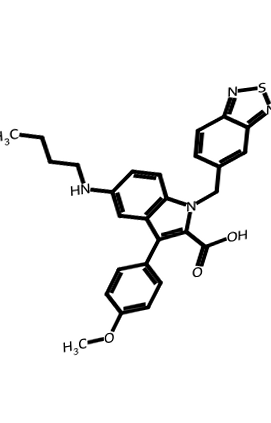 CCCCNc1ccc2c(c1)c(-c1ccc(OC)cc1)c(C(=O)O)n2Cc1ccc2nsnc2c1